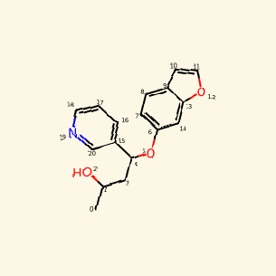 CC(O)CC(Oc1ccc2ccoc2c1)c1cccnc1